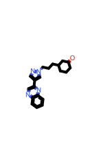 O=C1CCCC(CCCn2cc(-c3cnc4ccccc4n3)cn2)C1